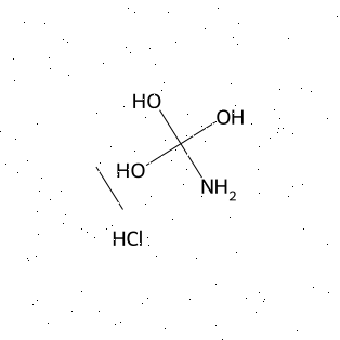 CC.Cl.NC(O)(O)O